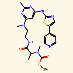 Cc1nc(Nc2ncc(-c3ccncc3)s2)cc(N(C)CCNC(=O)C(C)N(C)C(=O)OC(C)(C)C)n1